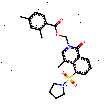 Cc1ccc(C(=O)OCn2cc(C)c3c(S(=O)(=O)N4CCCC4)cccc3c2=O)c(C)c1